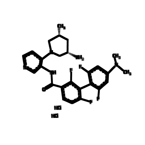 C[C@@H]1C[C@H](N)CN(c2ccncc2NC(=O)c2ccc(F)c(-c3c(F)cc(N(C)C)cc3F)c2F)C1.Cl.Cl